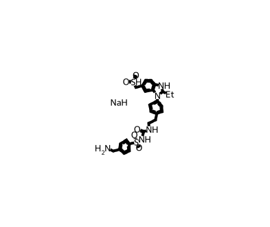 CCC1Nc2ccc(C[SH](=O)=O)cc2N1c1ccc(CCNC(=O)NS(=O)(=O)c2ccc(CN)cc2)cc1.[NaH]